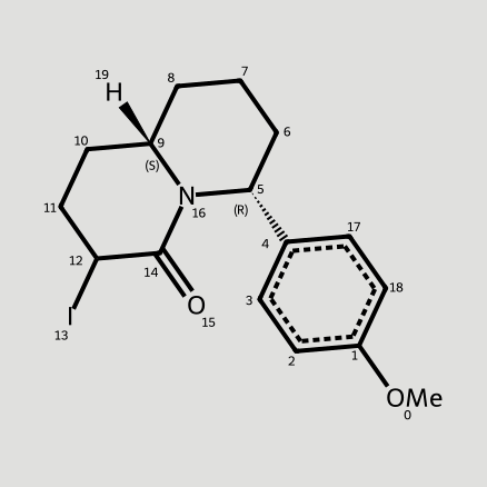 COc1ccc([C@H]2CCC[C@H]3CCC(I)C(=O)N32)cc1